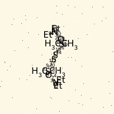 CCN(CC)CCO[Si](C)(C)CCCSSCCC[Si](C)(C)OCCN(CC)CC